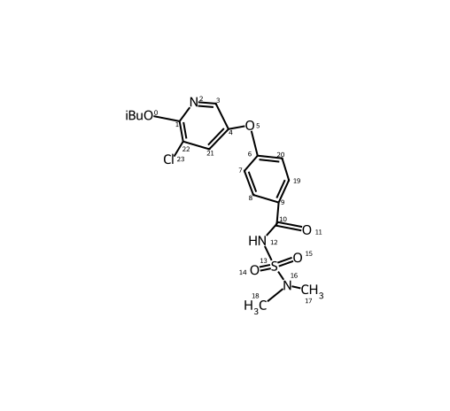 CC(C)COc1ncc(Oc2ccc(C(=O)NS(=O)(=O)N(C)C)cc2)cc1Cl